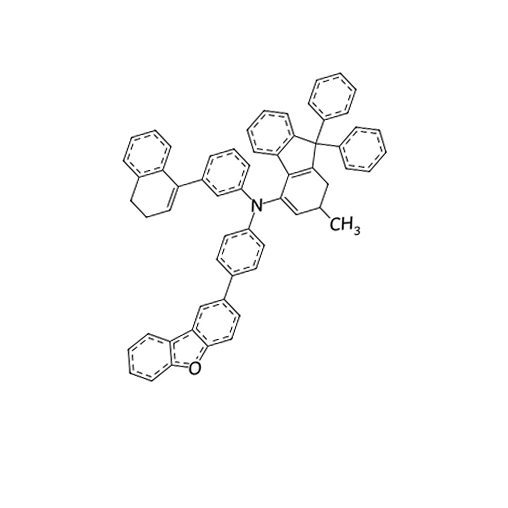 CC1C=C(N(c2ccc(-c3ccc4oc5ccccc5c4c3)cc2)c2cccc(C3=CCCc4ccccc43)c2)C2=C(C1)C(c1ccccc1)(c1ccccc1)c1ccccc12